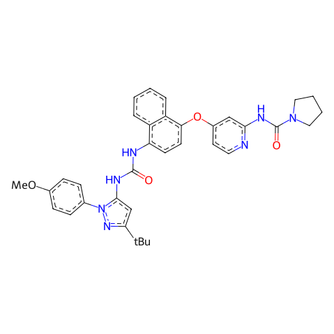 COc1ccc(-n2nc(C(C)(C)C)cc2NC(=O)Nc2ccc(Oc3ccnc(NC(=O)N4CCCC4)c3)c3ccccc23)cc1